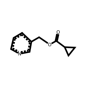 O=C(OCc1cccnc1)C1CC1